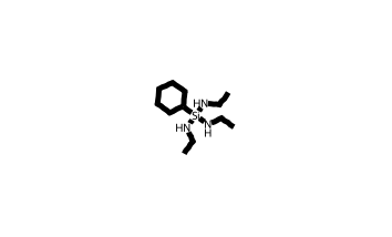 CCN[Si](NCC)(NCC)C1CCCCC1